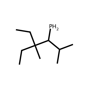 CCC(C)(CC)C(P)C(C)C